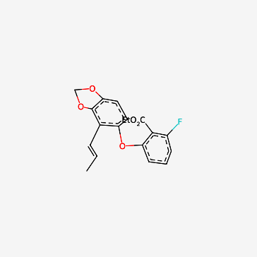 CC=Cc1c(Oc2cccc(F)c2C(=O)OCC)ccc2c1OCO2